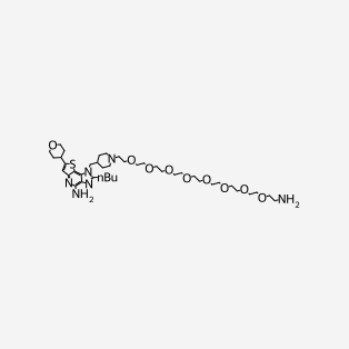 CCCCc1nc2c(N)nc3cc(C4CCOCC4)sc3c2n1CC1CCN(CCOCCOCCOCCOCCOCCOCCOCCOCCN)CC1